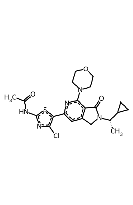 CC(=O)Nc1nc(Cl)c(-c2cc3c(c(N4CCOCC4)n2)C(=O)N([C@@H](C)C2CC2)C3)s1